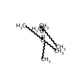 CCCCCCCCCCCCCC(=O)OC(C)C.CCCCCCCCCCCCCC(=O)OCC(CCCCCCCC)CCCCCCCCCC